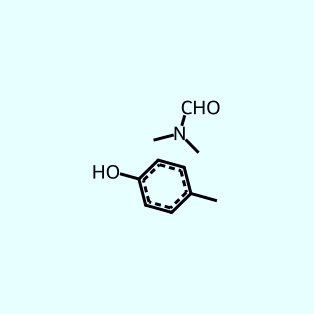 CN(C)C=O.Cc1ccc(O)cc1